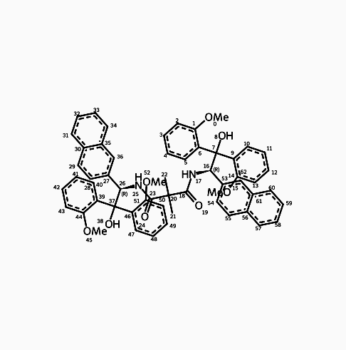 COc1ccccc1C(O)(c1ccccc1OC)[C@H](NC(=O)C(C)(C)C(=O)N[C@H](c1ccc2ccccc2c1)C(O)(c1ccccc1OC)c1ccccc1OC)c1ccc2ccccc2c1